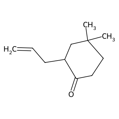 C=CCC1CC(C)(C)CCC1=O